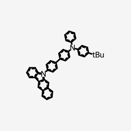 CC(C)(C)c1ccc(N(c2ccccc2)c2ccc(-c3ccc(-n4c5ccccc5c5cc6ccccc6cc54)cc3)cc2)cc1